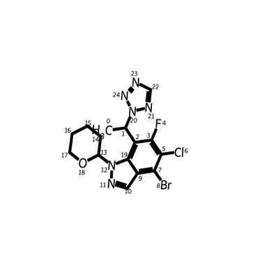 CC(c1c(F)c(Cl)c(Br)c2cnn(C3CCCCO3)c12)n1ncnn1